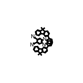 CC1(C)c2ccccc2-c2c1ccc1c3ccccc3n(-c3cc(C#N)c(C#N)cc3-n3c4ccccc4c4ccc5c(c43)-c3ccccc3C5(C)C)c21